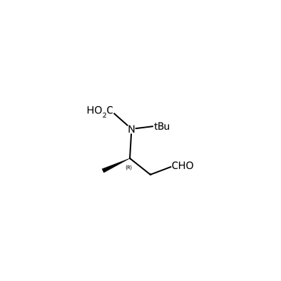 C[C@H](CC=O)N(C(=O)O)C(C)(C)C